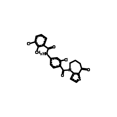 Cc1c(Cl)cccc1C(=O)Nc1ccc(C(=O)N2CCCC(=O)c3sccc32)c(Cl)c1